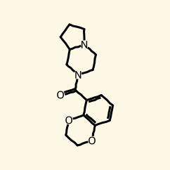 O=C(c1cccc2c1OCCO2)N1CCN2CCCC2C1